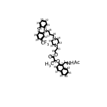 CC(=O)NCc1c(OC(C)C(=O)OCCN2CCN(CCCN3c4ccccc4Sc4ccc(C(F)(F)F)cc43)CC2)ccc2ccccc12